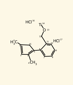 CC1=CC(C)=C(c2ccccc2C[O][Ti])C1.Cl.Cl